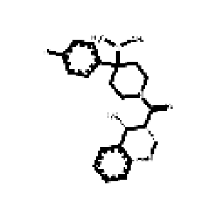 CNC[C@@H](C(=O)N1CCC(c2ccc(F)cc2)(N(C)C)CC1)[C@@H](C)c1ccccc1